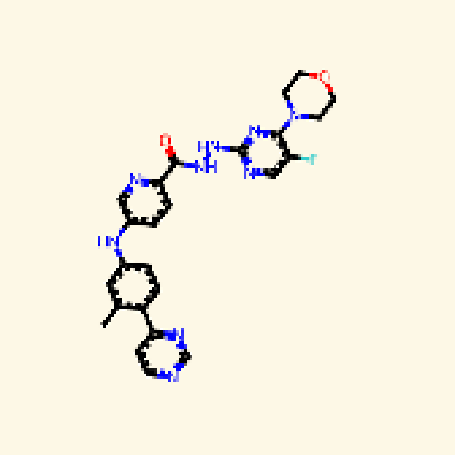 Cc1cc(Nc2ccc(C(=O)NNc3ncc(F)c(N4CCOCC4)n3)nc2)ccc1-c1ccncn1